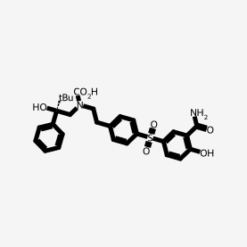 CC(C)(C)[C@](O)(CN(CCc1ccc(S(=O)(=O)c2ccc(O)c(C(N)=O)c2)cc1)C(=O)O)c1ccccc1